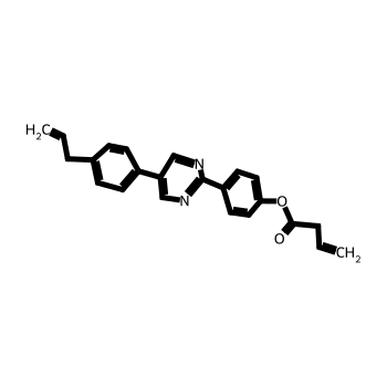 C=CCC(=O)Oc1ccc(-c2ncc(-c3ccc(CC=C)cc3)cn2)cc1